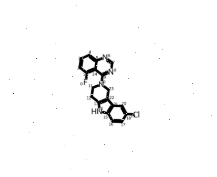 Fc1cccc2ncnc(N3CCc4[nH]c5ccc(Cl)cc5c4C3)c12